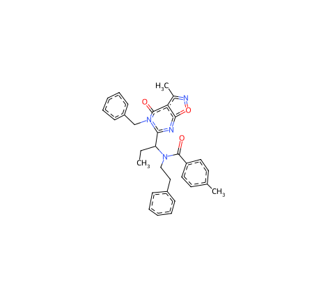 CCC(c1nc2onc(C)c2c(=O)n1Cc1ccccc1)N(CCc1ccccc1)C(=O)c1ccc(C)cc1